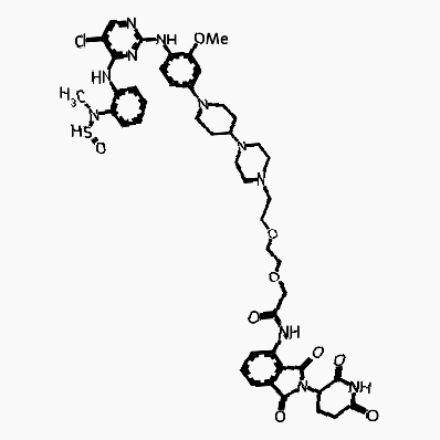 COc1cc(N2CCC(N3CCN(CCOCCOCC(=O)Nc4cccc5c4C(=O)N(C4CCC(=O)NC4=O)C5=O)CC3)CC2)ccc1Nc1ncc(Cl)c(Nc2ccccc2N(C)[SH]=O)n1